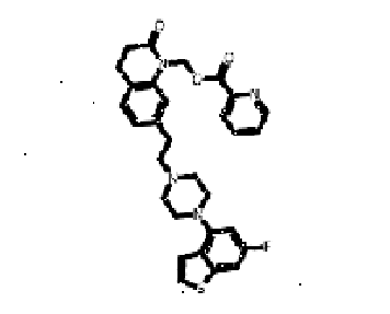 O=C(OCN1C(=O)CCc2ccc(CCN3CCN(c4cc(F)cc5sccc45)CC3)cc21)c1ccccn1